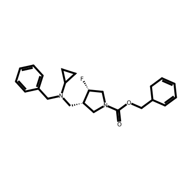 O=C(OCC1C=CC=CC1)N1C[C@H](CN(Cc2ccccc2)C2CC2)[C@H](F)C1